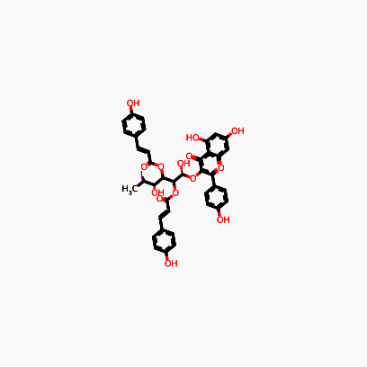 CC(I)[C@H](O)C(OC(=O)/C=C/c1ccc(O)cc1)C(OC(=O)/C=C/c1ccc(O)cc1)[C@@H](O)Oc1c(-c2ccc(O)cc2)oc2cc(O)cc(O)c2c1=O